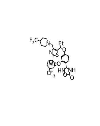 CCC(Oc1ccc(C2NOC(=O)N2)c(OC)c1)c1sc([C@H]2CC[C@H](C(F)(F)F)CC2)nc1CN1CCC(C(F)(F)F)CC1